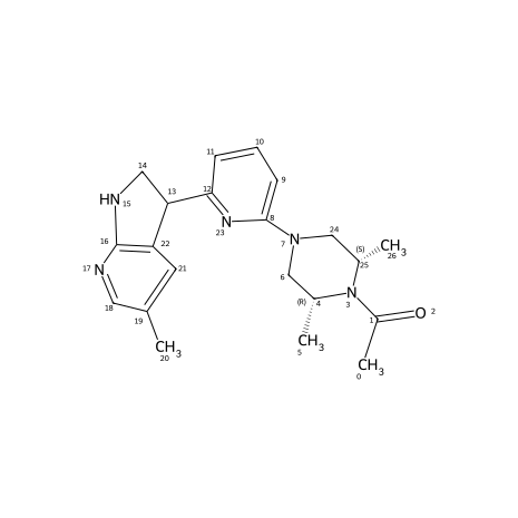 CC(=O)N1[C@H](C)CN(c2cccc(C3CNc4ncc(C)cc43)n2)C[C@@H]1C